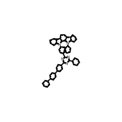 c1ccc(-c2ccc(-c3ccc(-c4nc(-c5ccccc5)nc(-c5ccc(-n6c7ccccc7c7ccc8c9ccccc9n(-c9ccccc9)c8c76)cc5)n4)cc3)cc2)cc1